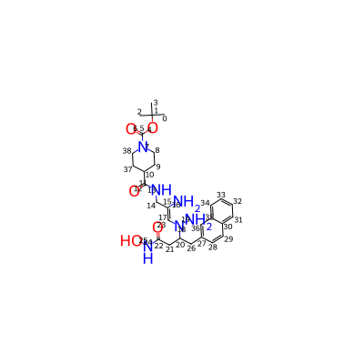 CC(C)(C)OC(=O)N1CCC(C(=O)NC/C(N)=C/N(N)C(CC(=O)NO)Cc2ccc3ccccc3c2)CC1